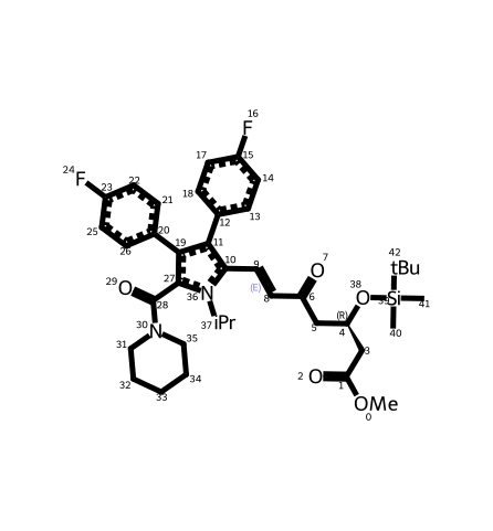 COC(=O)C[C@@H](CC(=O)/C=C/c1c(-c2ccc(F)cc2)c(-c2ccc(F)cc2)c(C(=O)N2CCCCC2)n1C(C)C)O[Si](C)(C)C(C)(C)C